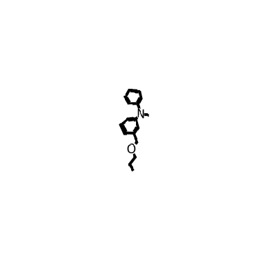 CCCOCc1cccc(N(C)c2ccccc2)c1